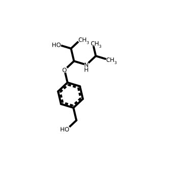 CC(C)NC(Oc1ccc(CO)cc1)C(C)O